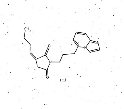 CCCC=C1SC(=O)N(CCCc2cccc3nccn23)C1=O.Cl